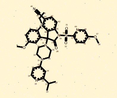 CCOc1ccc(OC)cc1C1(N2CCN(c3ccnc(C(C)C)c3)CC2)C(=O)N(S(=O)(=O)c2ccc(OC)cn2)c2ccc(C#N)cc21